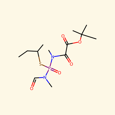 CCC(C)SP(=O)(N(C)C=O)N(C)C(=O)C(=O)OC(C)(C)C